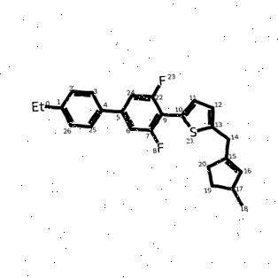 CCc1ccc(-c2cc(F)c(-c3ccc(CC4=CC(C)CC4)s3)c(F)c2)cc1